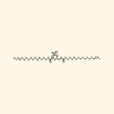 CCCCCCCCCCCCCCCC(=O)OCC(COC(=O)CCCCCCCCCCCCCCC)OP(=O)(Cl)Cl